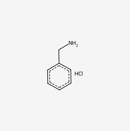 Cl.NCc1ccccc1